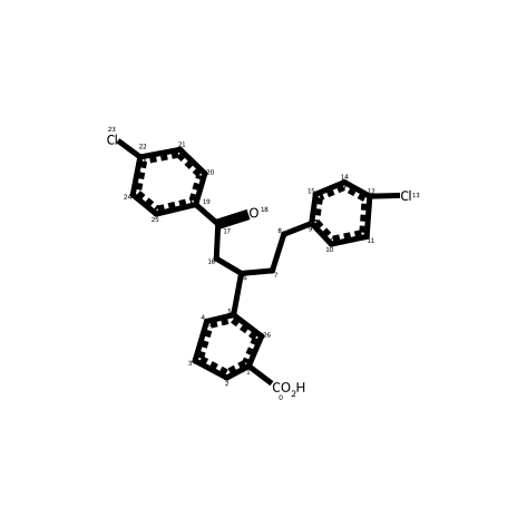 O=C(O)c1cccc(C(CCc2ccc(Cl)cc2)CC(=O)c2ccc(Cl)cc2)c1